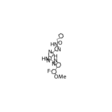 COc1cc(F)cc(-c2cccc3[nH]c(-c4n[nH]c5cnc(-c6cncc(NC(=O)Cc7ccccc7)c6)cc45)nc23)c1